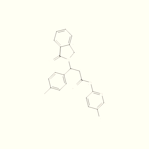 Cc1ccc(C(CC(=O)Nc2ccc(Br)cn2)N2Cc3ccccc3C2=O)cc1